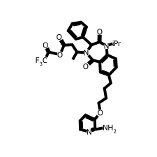 CC(C)N1C(=O)C(c2ccccc2)N(C(C)CC(=O)OC(=O)C(F)(F)F)C(=O)c2cc(CCCCOc3cccnc3N)ccc21